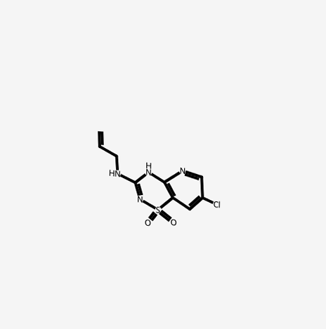 C=CCNC1=NS(=O)(=O)c2cc(Cl)cnc2N1